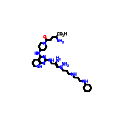 N/C(=C\N(N)CCCNCCCNC1CCCCC1)CNc1nc2c(c(NC3CCN(C(=O)CC[C@H](N)C(=O)O)CC3)n1)CCCN2